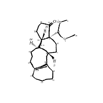 COC(OC)[C@]12CC[C@@H]3C4=C(CCCC4)CC[C@H]3[C@@H]1CCC2=O